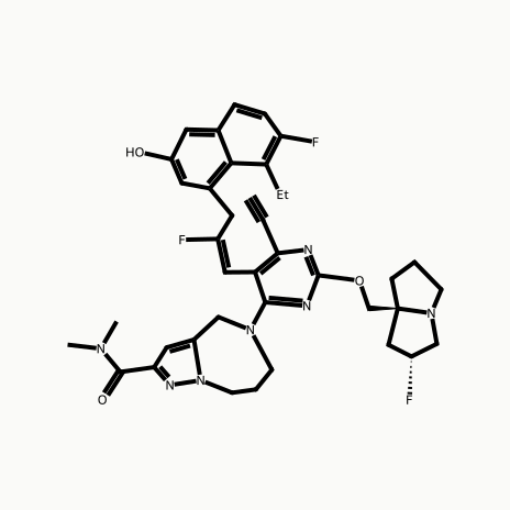 C#Cc1nc(OC[C@@]23CCCN2C[C@H](F)C3)nc(N2CCCn3nc(C(=O)N(C)C)cc3C2)c1/C=C(/F)Cc1cc(O)cc2ccc(F)c(CC)c12